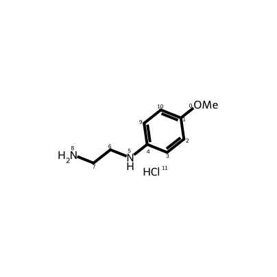 COc1ccc(NCCN)cc1.Cl